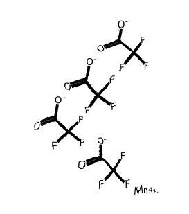 O=C([O-])C(F)(F)F.O=C([O-])C(F)(F)F.O=C([O-])C(F)(F)F.O=C([O-])C(F)(F)F.[Mn+4]